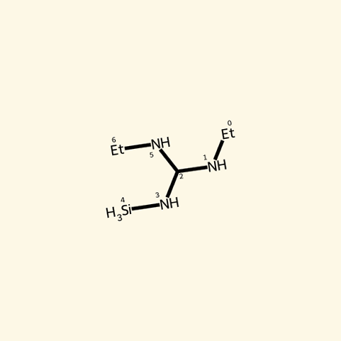 CCNC(N[SiH3])NCC